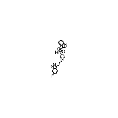 O=S(=O)(NC1CCN(CCCc2noc3cc(F)ccc23)C1)c1cnc2ccccn12